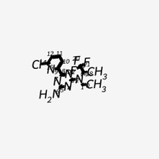 CCN(c1nc(N)nc(-c2cccc(Cl)n2)n1)[C@H](C)C(F)(F)F